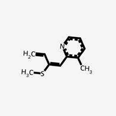 C=C/C(=C\c1ncccc1C)SC